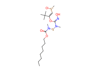 CCCCCCCCOC(=O)N(C)SN(C)C(=NO)OC(=C[S+](C)[O-])C(C)(C)C